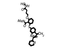 C=C(/C=C/c1ccccn1)c1ccc(Sc2cccc(OCCCC(=O)NO)c2C(=O)NC)cc1NC